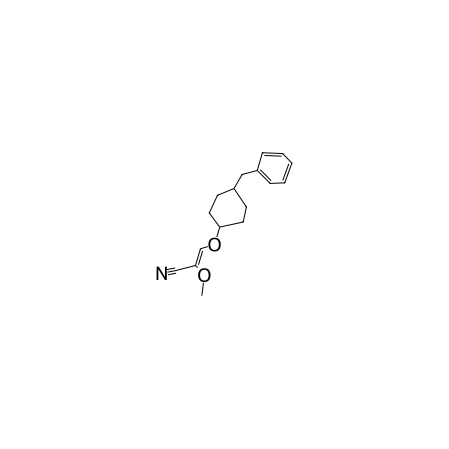 COC(C#N)=COC1CCC(Cc2ccccc2)CC1